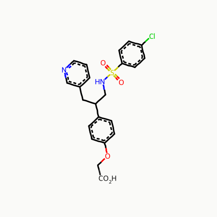 O=C(O)COc1ccc(C(CNS(=O)(=O)c2ccc(Cl)cc2)Cc2cccnc2)cc1